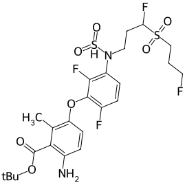 Cc1c(Oc2c(F)ccc(N(CCC(F)S(=O)(=O)CCCF)[SH](=O)=O)c2F)ccc(N)c1C(=O)OC(C)(C)C